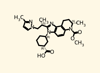 COC(=O)N1c2ccc3c(nc([C@@H](C)Cn4ccc(C)n4)n3[C@@H]3CCC[C@@H](C(=O)O)C3)c2CC[C@@H]1C